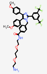 COc1ccc(-c2nc(-c3cc(C(F)(F)F)cc(C(F)(F)F)c3)n(Cc3ccc(C(=O)NCCOCCCOCCN)cc3)c2-c2ccc(OC)cc2)cc1